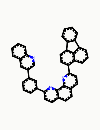 c1cc(-c2cnc3ccccc3c2)cc(-c2ccc3ccc4ccc(-c5ccc6c7c(cccc57)-c5ccccc5-6)nc4c3n2)c1